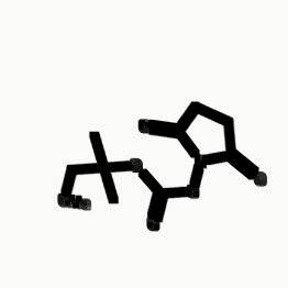 COCC(C)(C)OC(=O)ON1C(=O)CCC1=O